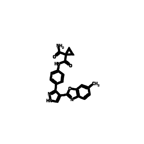 Cc1ccc2nc(-c3c[nH]nc3-c3ccc(NC(=O)C4(C(N)=O)CC4)cc3)oc2c1